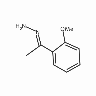 COc1ccccc1C(C)=NN